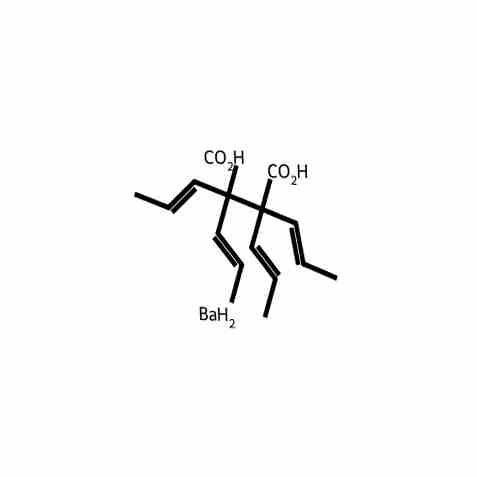 CC=CC(C=CC)(C(=O)O)C(C=CC)(C=CC)C(=O)O.[BaH2]